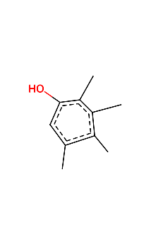 Cc1cc(O)c(C)c(C)c1C